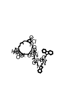 COc1cc2cc(c1Cl)N(C)C(=O)C[C@H](OC(=O)[C@H](C)N(C)C(=O)C(C)NC(=O)CCn1c(CN(C)N(C)C(=O)OCC3c4ccccc4-c4ccccc43)cc3ccccc31)[C@]1(C)OC1[C@H](C)[C@@H]1C[C@@](O)(NC(=O)O1)[C@H](OC)/C=C/C=C(\C)C2